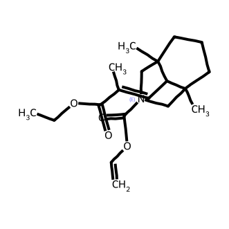 C=COC(=O)N1CC2(C)CCCC(C)(C1)C2/C=C(\C)C(=O)OCC